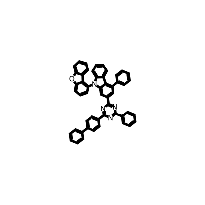 c1ccc(-c2ccc(-c3nc(-c4ccccc4)nc(-c4cc(-c5ccccc5)c5c6ccccc6n(-c6cccc7oc8ccccc8c67)c5c4)n3)cc2)cc1